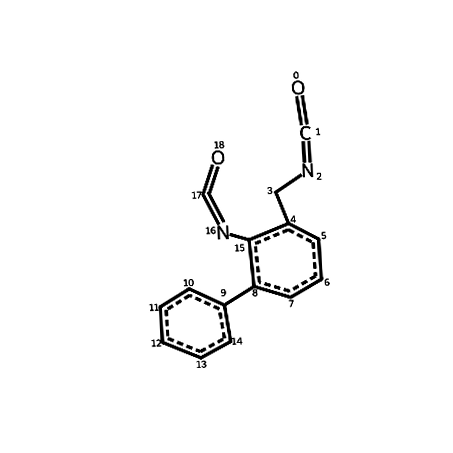 O=C=NCc1cccc(-c2ccccc2)c1N=C=O